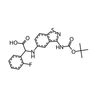 CC(C)(C)OC(=O)Nc1nsc2ccc(NC(C(=O)O)c3ccccc3F)cc12